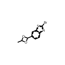 CC1OC(c2ccc3nc(Br)sc3c2)O1